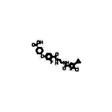 O=C(NCCNC(=O)c1ccc(O[C@H]2CC[C@@H](C(=O)O)CC2)cc1F)c1cc(C2CC2)c(Cl)s1